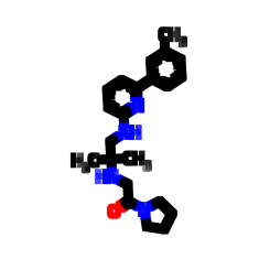 Cc1cccc(-c2cccc(NCC(C)(C)NCC(=O)N3CCCC3)n2)c1